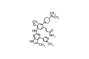 COc1cc(N2CCC(N(C)C)CC2)c(C=CC(N)=O)cc1Nc1nc(-c2cnn(C)c2)c2c(C)c[nH]c2n1